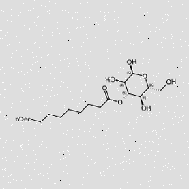 CCCCCCCCCCCCCCCCCC(=O)O[C@@H]1[C@@H](O)[C@@H](O)O[C@H](CO)[C@H]1O